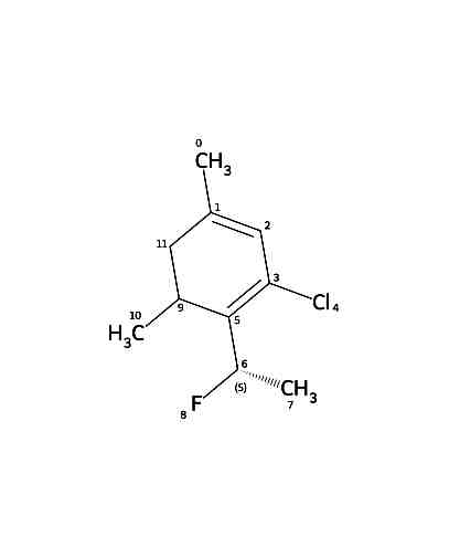 CC1=CC(Cl)=C([C@H](C)F)C(C)C1